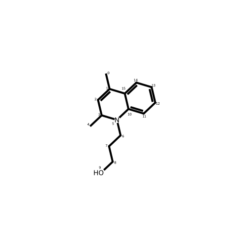 CC1=CC(C)N(CCCO)c2ccccc21